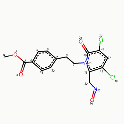 COC(=O)c1ccc(CCn2c(CN=O)c(Cl)cc(Cl)c2=O)cc1